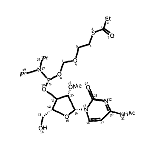 CCC(=O)SCCOCOP(OC1[C@@H](CO)O[C@@H](n2ccc(NC(C)=O)nc2=O)[C@H]1OC)N(C(C)C)C(C)C